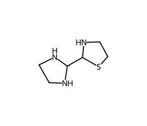 C1CN[C](C2NCCS2)N1